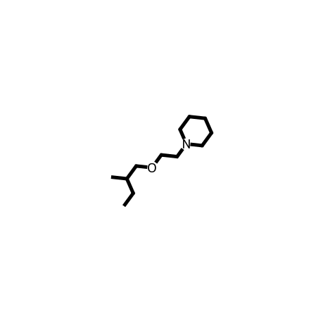 CCC(C)COCCN1CCCCC1